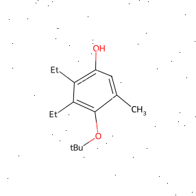 CCc1c(O)cc(C)c(OC(C)(C)C)c1CC